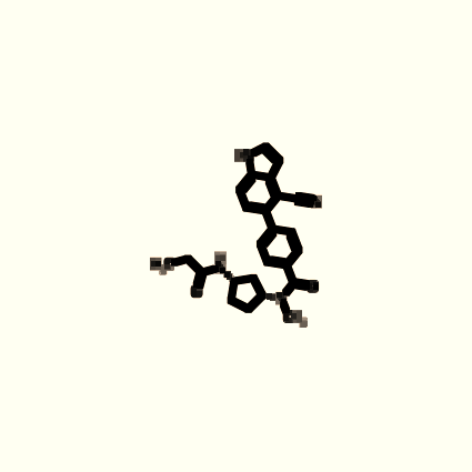 CCC(=O)N[C@H]1CC[C@@H](N(C)C(=O)c2ccc(-c3ccc4[nH]ccc4c3C#N)cc2)C1